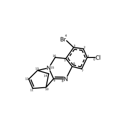 Clc1cc(Br)c2c(c1)N=C1C3C=CC(C3)N1C2